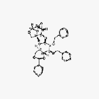 c1ccc(CO[C@@H]2[C@@H](OCc3ccccc3)[C@H](O[C@@H]3[C@H]4O[C@H]4[C@H]4OC[C@@H]3O4)O[C@@H]3COC(c4ccccc4)O[C@@H]23)cc1